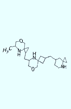 CC1COCC2(CC2CC2COCC3(CC(CC4CCNC5(CC5)C4)C3)N2)N1